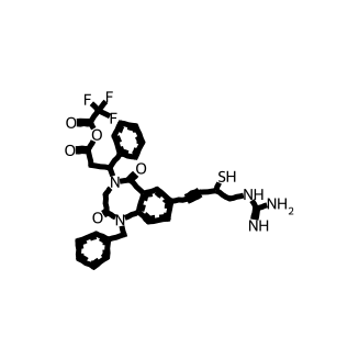 N=C(N)NCC(S)C#Cc1ccc2c(c1)C(=O)N(C(CC(=O)OC(=O)C(F)(F)F)c1ccccc1)CC(=O)N2Cc1ccccc1